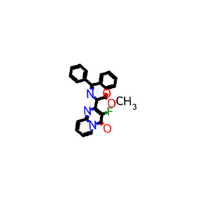 COC(=O)C(N=C(c1ccccc1)c1ccccc1)c1nc2ccccn2c(=O)c1F